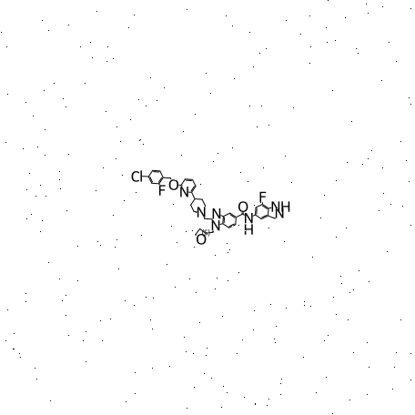 O=C(Nc1cc(F)c2[nH]ncc2c1)c1ccc2c(c1)nc(CN1CCC(c3cccc(OCc4ccc(Cl)cc4F)n3)CC1)n2C[C@@H]1CCO1